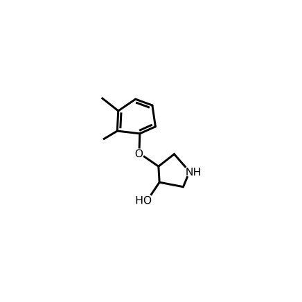 Cc1cccc(OC2CNCC2O)c1C